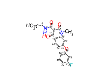 Cn1c(=O)c(C(=O)NCC(=O)O)c(O)c2ccc(Oc3cccc(F)c3)cc21